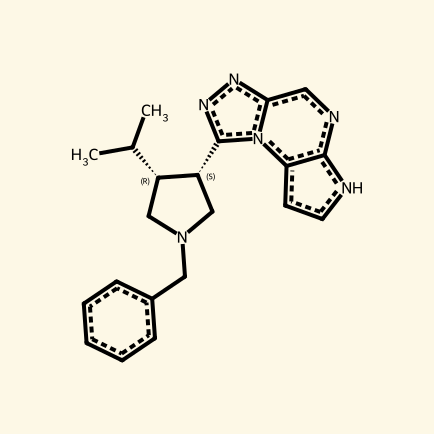 CC(C)[C@H]1CN(Cc2ccccc2)C[C@H]1c1nnc2cnc3[nH]ccc3n12